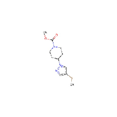 CC(C)(C)OC(=O)N1CCC(n2cc(SC#N)cn2)CC1